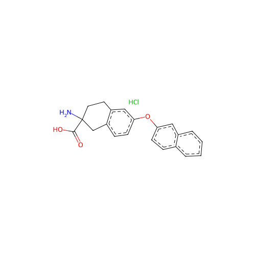 Cl.NC1(C(=O)O)CCc2cc(Oc3ccc4ccccc4c3)ccc2C1